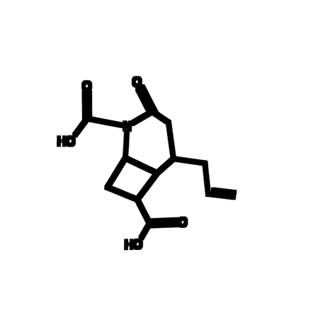 C=CCC1CC(=O)N(C(=O)O)C2CC(C(=O)O)C12